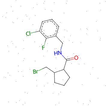 O=C(NCc1cccc(Cl)c1F)C1CCCC1CBr